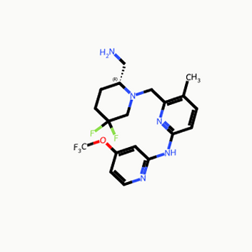 Cc1ccc(Nc2cc(OC(F)(F)F)ccn2)nc1CN1CC(F)(F)CC[C@@H]1CN